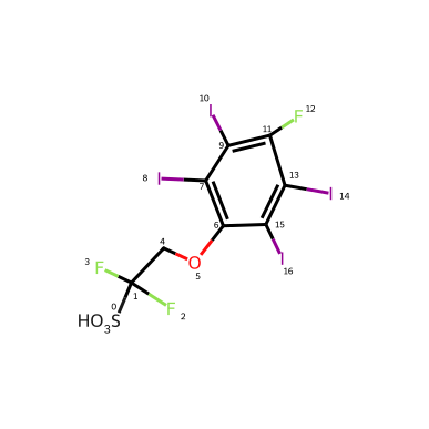 O=S(=O)(O)C(F)(F)COc1c(I)c(I)c(F)c(I)c1I